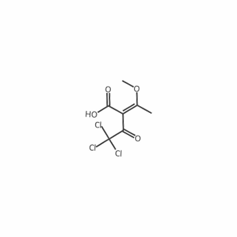 COC(C)=C(C(=O)O)C(=O)C(Cl)(Cl)Cl